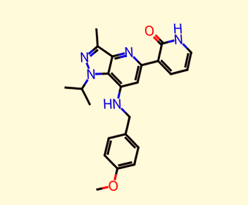 COc1ccc(CNc2cc(-c3ccc[nH]c3=O)nc3c(C)nn(C(C)C)c23)cc1